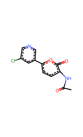 CC(=O)Nc1ccc(-c2cncc(Cl)c2)oc1=O